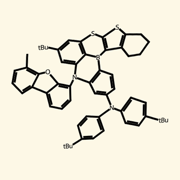 Cc1cccc2c1oc1c(N3c4cc(N(c5ccc(C(C)(C)C)cc5)c5ccc(C(C)(C)C)cc5)ccc4B4c5c(cc(C(C)(C)C)cc53)Sc3sc5c(c34)CCCC5)cccc12